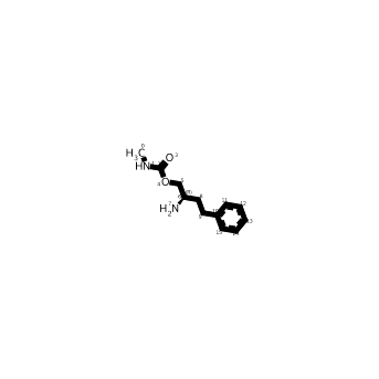 CNC(=O)OC[C@H](N)CCc1ccccc1